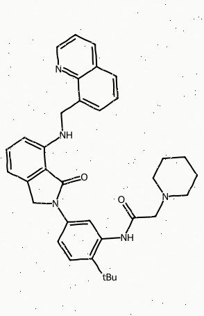 CC(C)(C)c1ccc(N2Cc3cccc(NCc4cccc5cccnc45)c3C2=O)cc1NC(=O)CN1CCCCC1